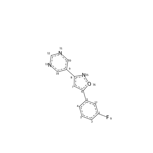 Fc1cccc(-c2cc(-c3cncnc3)no2)c1